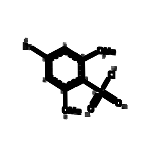 COc1cc(Br)cc(OC)c1S(=O)(=O)Cl